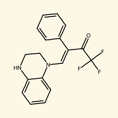 O=C(/C(=C/N1CCNc2ccccc21)c1ccccc1)C(F)(F)F